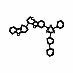 c1ccc(-c2ccc(-c3nc(-c4ccccc4)nc(-c4ccc5c(c4)oc4c(-c6ccc7oc8ccccc8c7c6)cccc45)n3)cc2)cc1